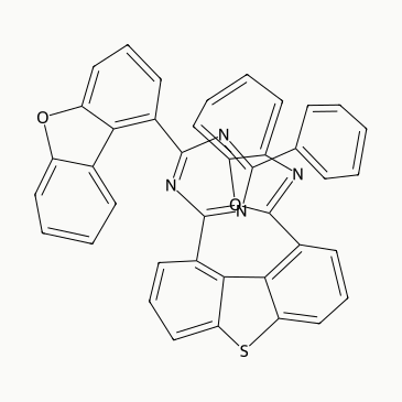 c1ccc(-c2nc(-c3cccc4oc5ccccc5c34)nc(-c3cccc4sc5cccc(-c6nc7ccccc7o6)c5c34)n2)cc1